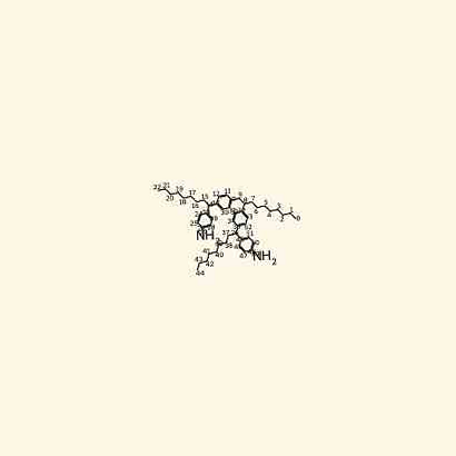 CCCCCCCCC(Cc1ccc(C(CCCCCCCC)c2ccc(N)cc2)cc1)c1ccc(C(CCCCCCCC)c2ccc(N)cc2)cc1